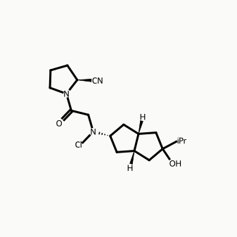 CC(C)C1(O)C[C@H]2C[C@@H](N(Cl)CC(=O)N3CCC[C@H]3C#N)C[C@H]2C1